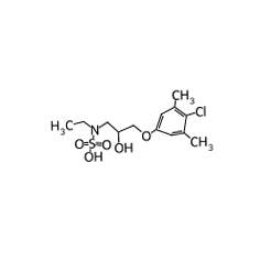 CCN(CC(O)COc1cc(C)c(Cl)c(C)c1)S(=O)(=O)O